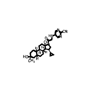 C[C@@]1(O)CC[C@H]2[C@H](CC[C@@H]3[C@@H]2CC[C@@]2(C)[C@H]3[C@H](C3CC3)C[C@@H]2C(=O)CNc2cnc(C#N)nc2)C1